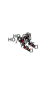 CC(C)O[C@H]1COC[C@H]1n1c(Cc2cc(F)c(-c3cccc(OCc4ccc(Cl)cc4F)n3)cc2F)nc2ccc(C(=O)O)cc21.CC(C)O[C@H]1COC[C@H]1n1c(Cc2cc(F)c(-c3cccc(OCc4ccc(Cl)cc4F)n3)cc2F)nc2ccc(C(=O)O)cc21